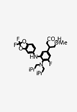 COCC(CC(=O)O)c1cc(F)c(N(CC(C)C)CC(C)C)c(Nc2ccc3c(c2)OC(F)(F)O3)c1